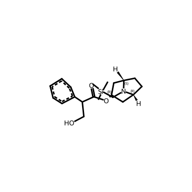 C[Si](C)(C)CN1[C@@H]2CC[C@H]1C[C@@H](OC(=O)C(CO)c1ccccc1)C2